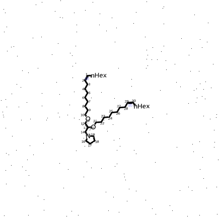 CCCCCC/C=C\CCCCCCCCOCC(CN1CCCC1)OCCCCCCCC/C=C\CCCCCC